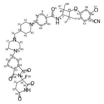 CC1(C)C(NC(=O)c2ccc(N3CCC(CN4CCN(c5ccc6c(c5)C(=O)N(C5(F)CCC(=O)NC5=O)C6=O)CC4)CC3)cc2)C(C)(C)C1Oc1ccc(C#N)c(Cl)c1